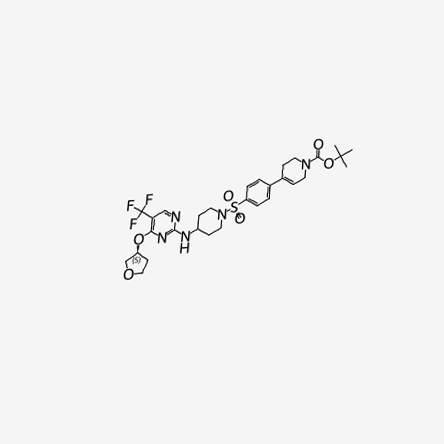 CC(C)(C)OC(=O)N1CC=C(c2ccc(S(=O)(=O)N3CCC(Nc4ncc(C(F)(F)F)c(O[C@H]5CCOC5)n4)CC3)cc2)CC1